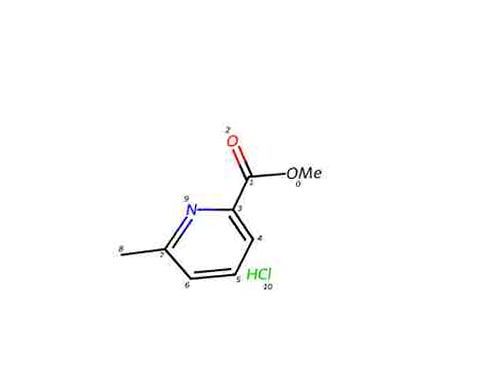 COC(=O)c1cccc(C)n1.Cl